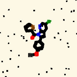 CCOc1ccc(-c2cc3cc(Br)cnc3n2C(=O)c2cccs2)cc1